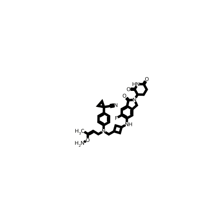 C/C(=C/CN(CC1CC(Nc2cc3c(cc2F)C(=O)N(C2CCC(=O)NC2=O)C3)C1)c1ccc(C2(C#N)CC2)cc1)ON